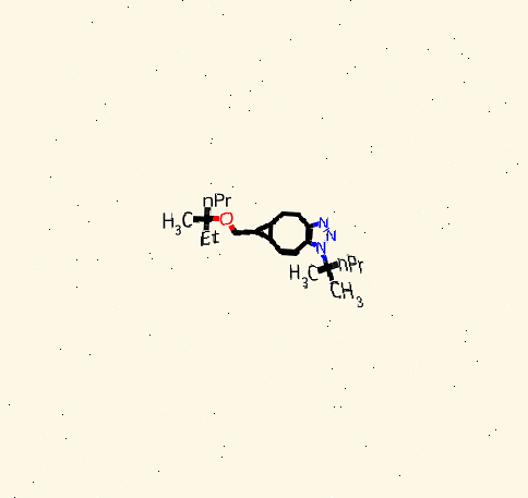 CCCC(C)(CC)OCC1C2CCc3nnn(C(C)(C)CCC)c3CCC21